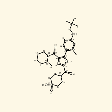 Cc1cc(NCC(C)(C)C)ncc1-c1sc(C(=O)N2CCS(=O)(=O)CC2)nc1C(=O)N1CCCC[C@@H]1C